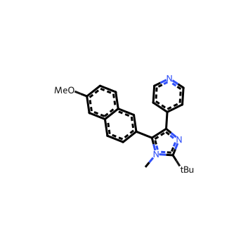 COc1ccc2cc(-c3c(-c4ccncc4)nc(C(C)(C)C)n3C)ccc2c1